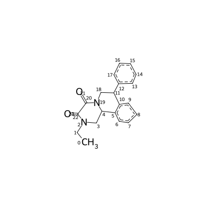 CCN1CC2c3ccccc3C(c3ccccc3)CN2C(=O)C1=O